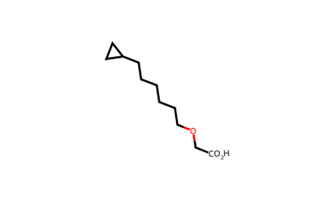 O=C(O)COCCCCCCC1CC1